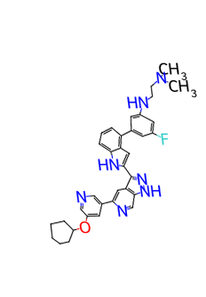 CN(C)CCNc1cc(F)cc(-c2cccc3[nH]c(-c4n[nH]c5cnc(-c6cncc(OC7CCCCC7)c6)cc45)cc23)c1